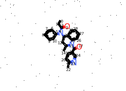 CCC(=O)N(c1ccccc1)C1CC(C)N(C(=O)c2ccc(C)nc2)c2ccccc21